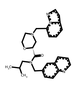 CC(C)CN(Cc1ccc2ncccc2c1)C(=O)[C@H]1CN(Cc2cccc3ccnn23)CCO1